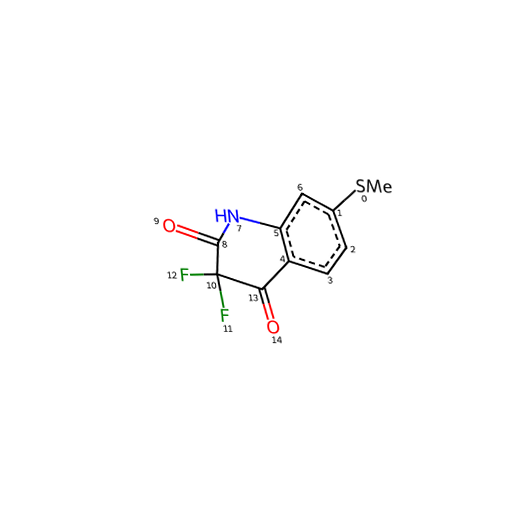 CSc1ccc2c(c1)NC(=O)C(F)(F)C2=O